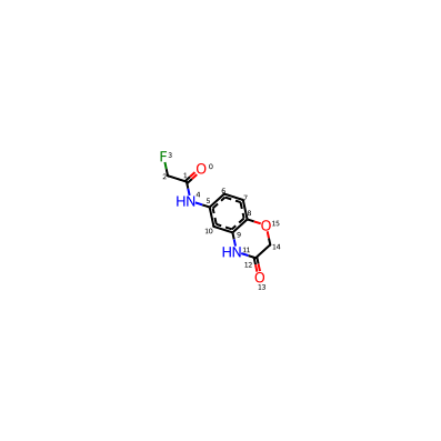 O=C(CF)Nc1ccc2c(c1)NC(=O)CO2